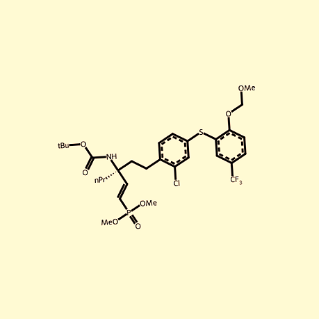 CCC[C@@](C=CP(=O)(OC)OC)(CCc1ccc(Sc2cc(C(F)(F)F)ccc2OCOC)cc1Cl)NC(=O)OC(C)(C)C